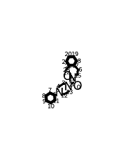 O=C(N1CCN(c2ccccc2)CC1)N1CCc2ccccc2CO1